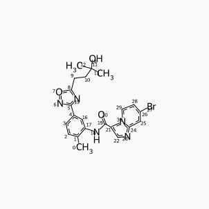 Cc1ccc(-c2noc(CCC(C)(C)O)n2)cc1NC(=O)c1cnc2cc(Br)ccn12